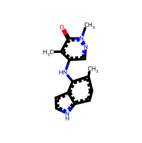 Cc1ccc2[nH]ccc2c1Nc1cnn(C)c(=O)c1C